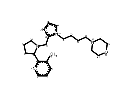 Cc1cccnc1C1CCCN1Cc1nccn1CCCCN1CCOCC1